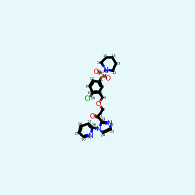 O=C(COCc1cc(S(=O)(=O)N2CCCCC2)ccc1Cl)c1nccn1-c1ccccn1